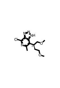 COCC[C@H](COC)c1c(C)nc(Cl)c2nn[nH]c12